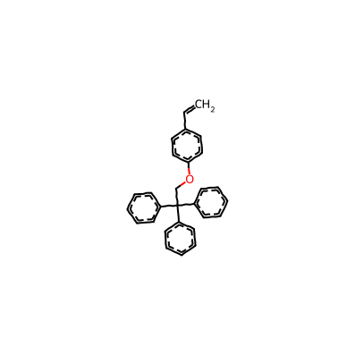 C=Cc1ccc(OCC(c2ccccc2)(c2ccccc2)c2ccccc2)cc1